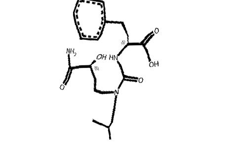 CC(C)CN(C[C@H](O)C(N)=O)C(=O)N[C@@H](Cc1ccccc1)C(=O)O